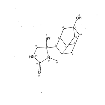 CC(C)C1(C2C3CC4CC2CC(O)(C4)C3)CNC(=O)N1C